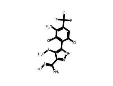 CSc1c(C(N)=NO)n[nH]c1-c1c(Cl)cc(C(F)(F)F)c(N)c1Cl